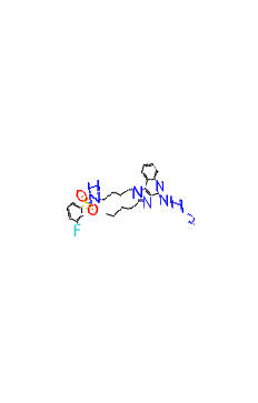 CCCCc1nc2c(N)nc3ccccc3c2n1CCCCNS(=O)(=O)c1cccc(F)c1